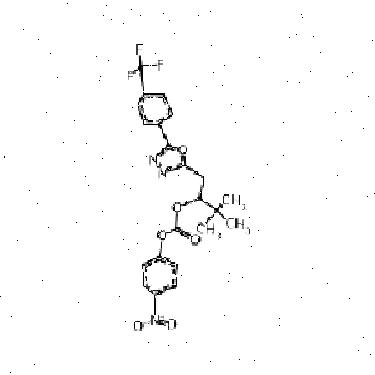 CC(C)(C)C(Cc1nnc(-c2ccc(C(F)(F)F)cc2)o1)OC(=O)Oc1ccc([N+](=O)[O-])cc1